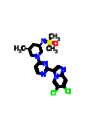 C[C@@H]1C[C@H](N=S(C)(C)=O)CN(c2ccnc(-c3cnc4cc(Cl)c(Cl)cn34)n2)C1